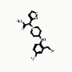 Cc1ccc(NC2CCN(C(C(N)=O)C3=CCOO3)CC2)c(CO)c1